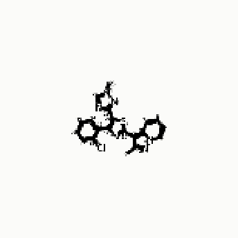 Cc1nn2ccccc2c1-c1nc(-c2ccccc2Cl)c(-c2ncn(C)n2)s1